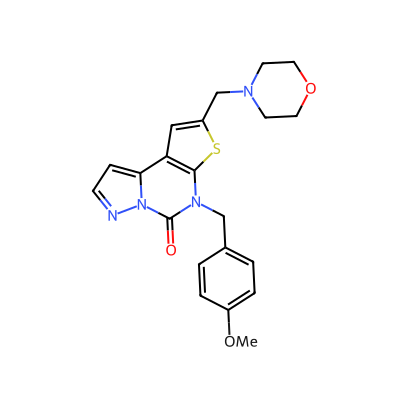 COc1ccc(Cn2c(=O)n3nccc3c3cc(CN4CCOCC4)sc32)cc1